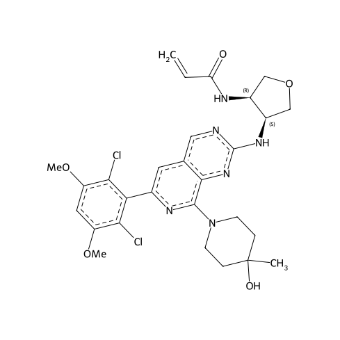 C=CC(=O)N[C@H]1COC[C@H]1Nc1ncc2cc(-c3c(Cl)c(OC)cc(OC)c3Cl)nc(N3CCC(C)(O)CC3)c2n1